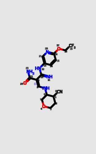 N#CC1CCOCC1N/C=C(\C(=N)Nc1ccc(OCC(F)(F)F)nc1)C(N)=O